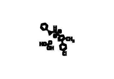 Cc1cc(S(=O)(=O)N[C@H]2C[C@@H]2c2ccccc2)sc1-c1ccc(Cl)cc1.O=C(O)O